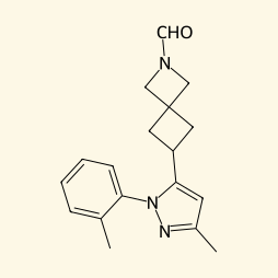 Cc1cc(C2CC3(C2)CN(C=O)C3)n(-c2ccccc2C)n1